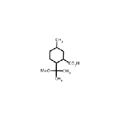 COC(C)(C)C1CCC(C)CC1C(=O)O